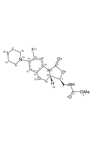 COC(=O)NC[C@@H]1OC(=O)N2c3cc(F)c(N4CCSCC4)cc3OC[C@@H]12